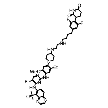 CCc1cc(Nc2ncc(Br)c(Nc3ccc4nccnc4c3P(C)(C)=O)n2)c(OC)cc1N1CCC(NCCNCCCCc2cc(F)c(C3CCC(=O)NC3=O)c(F)c2)CC1